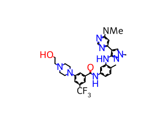 CNc1cc(-c2cn(C)nc2Nc2cc(NC(=O)c3cc(N4CCN(CCO)CC4)cc(C(F)(F)F)c3)ccc2C)ncn1